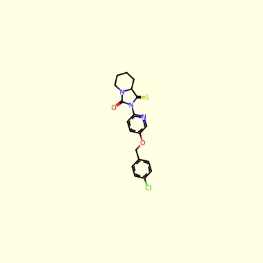 O=C1N(c2ccc(OCc3ccc(Cl)cc3)cn2)C(=S)C2CCCCN12